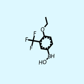 CCOc1ccc(BO)cc1C(F)(F)F